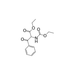 CCOC(=O)NC(C(=O)OCC)C(=O)c1ccccc1